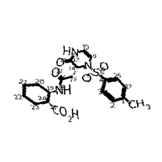 Cc1ccc(S(=O)(=O)N2C=CNC(=O)[C@H]2CC(=O)N[C@@H]2CCCC[C@H]2C(=O)O)cc1